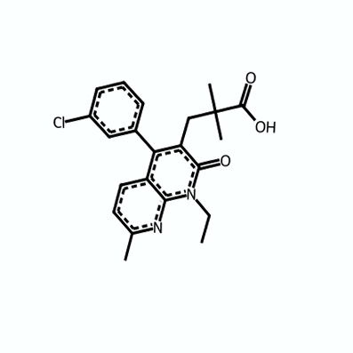 CCn1c(=O)c(CC(C)(C)C(=O)O)c(-c2cccc(Cl)c2)c2ccc(C)nc21